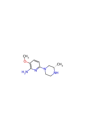 COc1ccc(N2CCN[C@@H](C)C2)nc1N